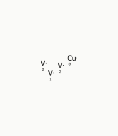 [Cu].[V].[V].[V]